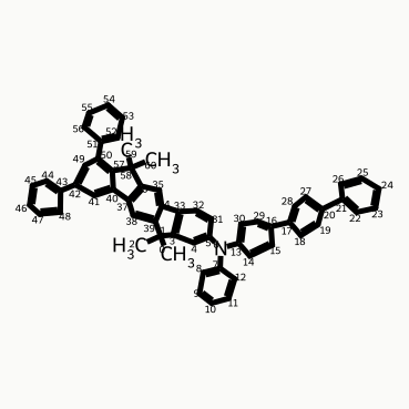 CC1(C)c2cc(N(c3ccccc3)c3ccc(-c4ccc(-c5ccccc5)cc4)cc3)ccc2-c2cc3c(cc21)-c1cc(-c2ccccc2)cc(-c2ccccc2)c1C3(C)C